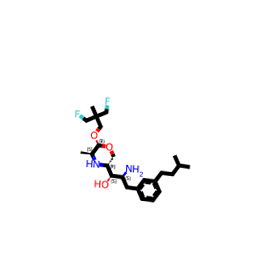 CC(C)CCc1cccc(C[C@H](N)[C@H](O)[C@H]2CO[C@@H](OCC(C)(CF)CF)[C@H](C)N2)c1